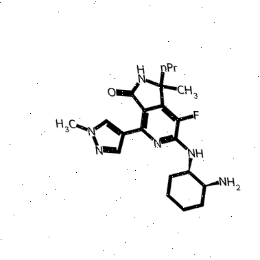 CCCC1(C)NC(=O)c2c(-c3cnn(C)c3)nc(N[C@@H]3CCCC[C@@H]3N)c(F)c21